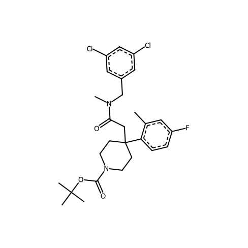 Cc1cc(F)ccc1C1(CC(=O)N(C)Cc2cc(Cl)cc(Cl)c2)CCN(C(=O)OC(C)(C)C)CC1